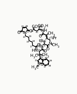 C/C(=C\[C@H](C(C)C)N(C)C(=O)C(NC(=O)[C@@H](NC(=O)CCCCCN1C(=O)C=CC1=O)C(C)(C)c1cn(C)c2ccccc12)C(C)(C)C)C(=O)N[C@H](CCC(=O)O)C(=O)O